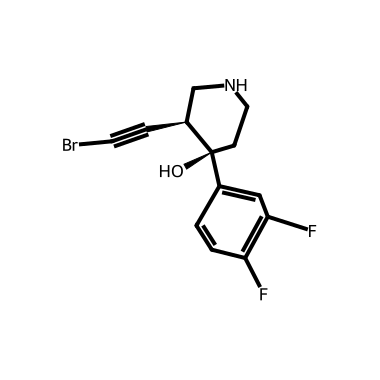 O[C@]1(c2ccc(F)c(F)c2)CCNC[C@@H]1C#CBr